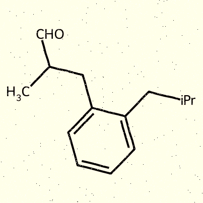 CC(C)Cc1ccccc1CC(C)C=O